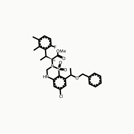 COC(=O)[C@H](C(C)c1c(F)ccc(C)c1C)N1CNc2cc(Cl)cc(C(C)OCc3ccccc3)c2S1(=O)=O